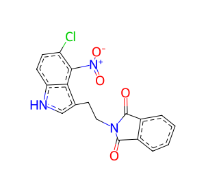 O=C1c2ccccc2C(=O)N1CCc1c[nH]c2ccc(Cl)c([N+](=O)[O-])c12